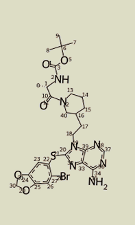 C[C@H](NC(=O)OC(C)(C)C)C(=O)N1CCCC(CCn2c(Sc3cc4c(cc3Br)OCO4)nc3c(N)ncnc32)C1